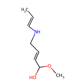 C/C=C/NC/C=C/C(O)OC